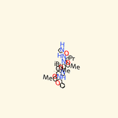 CC[C@H](C)[C@@H]([C@@H](CC(=O)N1CCC[C@H]1[C@H](OC)[C@@H](C)C(=O)N[C@@H](Cc1ccccc1)C(=O)OC)OC)N(C)C(=O)[C@@H](NC(=O)[C@@H]1CCCN1)C(C)C